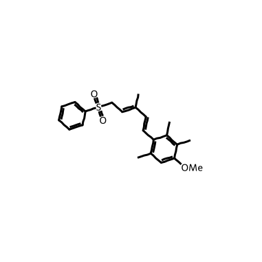 COc1cc(C)c(C=CC(C)=CCS(=O)(=O)c2ccccc2)c(C)c1C